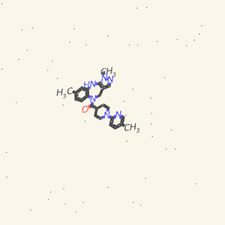 Cc1ccc(N2CCC(C(=O)N3Cc4cnn(C)c4Nc4cc(C)ccc43)CC2)nc1